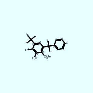 CCc1c(C(C)(C)I)cc(C(C)(C)c2ccccc2)c(OC)c1CC